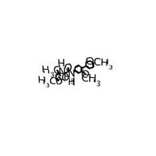 COc1cc(NC(=O)C(=O)NC(C)(C)CC(C)=O)ccc1C1=CC=C(C)OC1